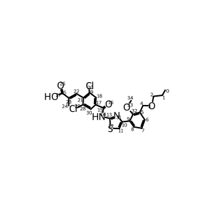 CCCOCc1cccc(-c2csc(NC(=O)c3cc(Cl)c(C=C(C)C(=O)O)c(Cl)c3)n2)c1OC